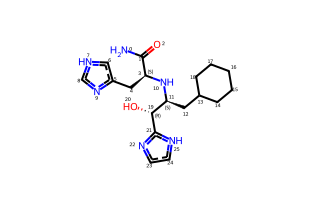 NC(=O)[C@H](Cc1c[nH]cn1)N[C@@H](CC1CCCCC1)[C@@H](O)c1ncc[nH]1